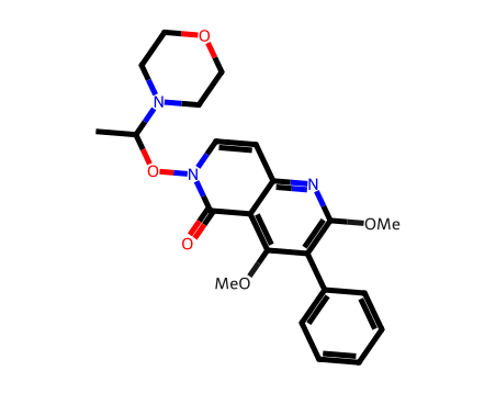 COc1nc2ccn(OC(C)N3CCOCC3)c(=O)c2c(OC)c1-c1ccccc1